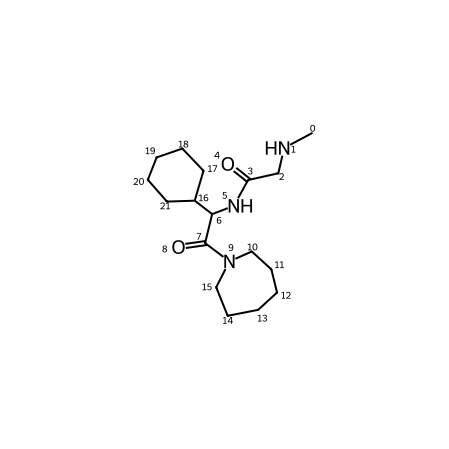 CNCC(=O)NC(C(=O)N1CCCCCC1)C1CCCCC1